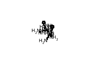 N=C(N)NCCCC(NC(=O)C(N)CC1CCCC1)C(=O)NC(Cc1ccccc1)C(=O)NC(CCCCN)C(N)=O